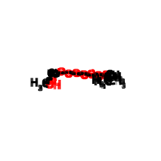 CC(O)CC(=O)c1cccc2cc(OCCOCCOCCOCCOCCOCCO[Si](C)(C)C(C)(C)C)ccc12